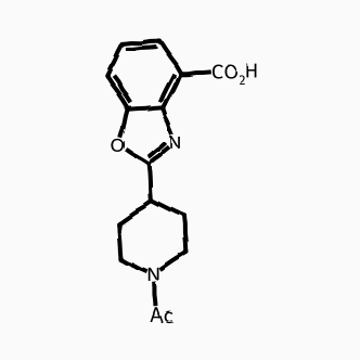 CC(=O)N1CCC(c2nc3c(C(=O)O)cccc3o2)CC1